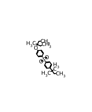 CCC(C)(CC)Oc1ccc(S(=O)(=O)c2ccc(C(C)(C)CC)cc2)cc1